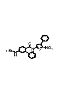 CCCCNc1ccc(C(=O)Nc2cc(-c3ccccc3)c([N+](=O)[O-])s2)c(-c2ccccc2)c1